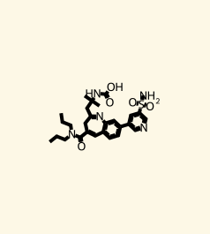 CCCN(CCC)C(=O)C1=Cc2ccc(-c3cncc(S(N)(=O)=O)c3)cc2N=C(CC(C)(C)NC(=O)O)C1